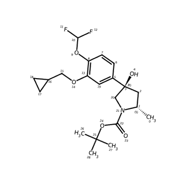 C[C@H]1C[C@@](O)(c2ccc(OC(F)F)c(OCC3CC3)c2)CN1C(=O)OC(C)(C)C